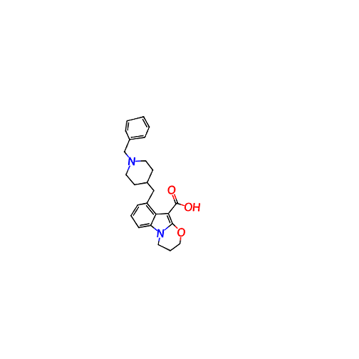 O=C(O)c1c2n(c3cccc(CC4CCN(Cc5ccccc5)CC4)c13)CCCO2